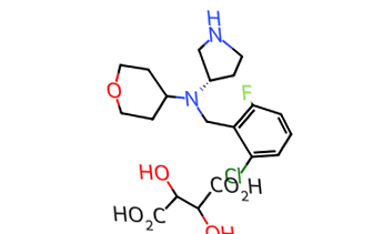 Fc1cccc(Cl)c1CN(C1CCOCC1)[C@H]1CCNC1.O=C(O)C(O)C(O)C(=O)O